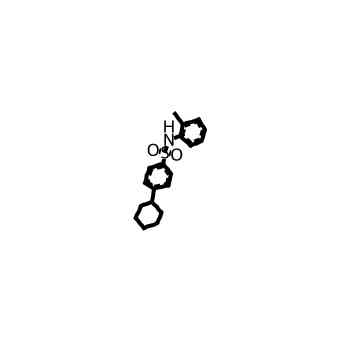 Cc1ccccc1NS(=O)(=O)c1ccc(C2CCCCC2)cc1